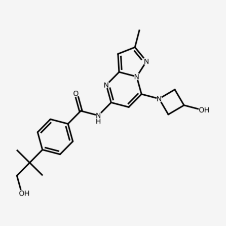 Cc1cc2nc(NC(=O)c3ccc(C(C)(C)CO)cc3)cc(N3CC(O)C3)n2n1